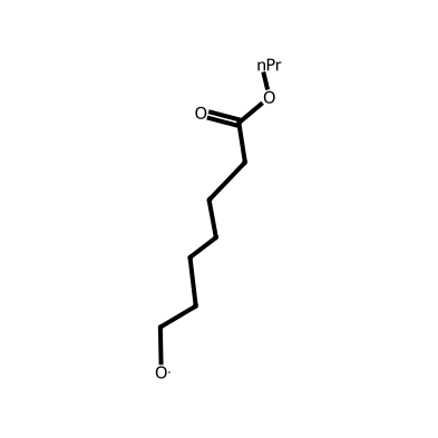 CCCOC(=O)CCCCCC[O]